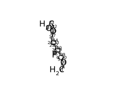 C=CCOc1ccc(-c2ccc(-c3ccc(CCCOC(=O)C=C)cc3)cc2F)cc1